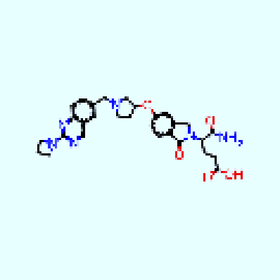 NC(=O)C(CCC(=O)O)N1Cc2cc(OC3CCN(Cc4ccc5nc(N6CCC6)ncc5c4)C3)ccc2C1=O